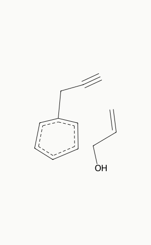 C#CCc1ccccc1.C=CCO